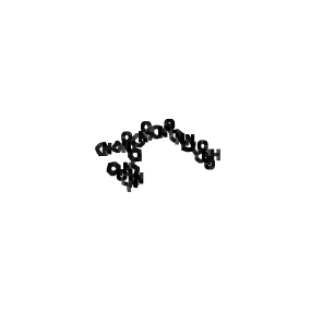 CC(C)n1cnc2cc(-c3ccc4c(c3)N(C3CC(N5CCCCC5)C3)C(=O)C43CCN(C(=O)C4(C)CCN(C(=O)C5CCN(c6ccc(C7CCC(=O)NC7=O)cn6)CC5)CC4)CC3)nc(Oc3ccccc3)c21